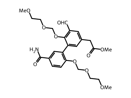 COCCOCOc1ccc(C(N)=O)cc1-c1cc(CC(=O)OC)cc(C=O)c1OCOCCOC